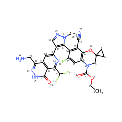 CCOC(=O)N1CC2(CC2)Oc2c1cc(F)c(-c1c(-c3cc4c(CN)n[nH]c(=O)c4c(C(F)F)n3)cnn1C)c2C#N